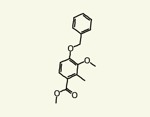 COC(=O)c1ccc(OCc2ccccc2)c(OC)c1C